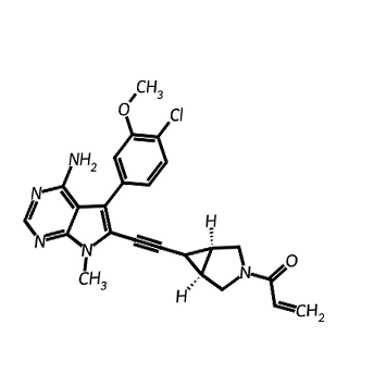 C=CC(=O)N1C[C@@H]2C(C#Cc3c(-c4ccc(Cl)c(OC)c4)c4c(N)ncnc4n3C)[C@@H]2C1